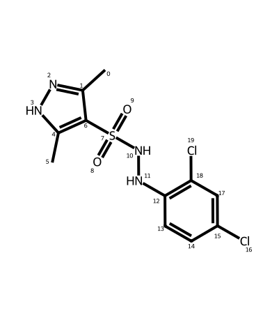 Cc1n[nH]c(C)c1S(=O)(=O)NNc1ccc(Cl)cc1Cl